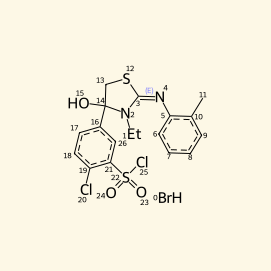 Br.CCN1/C(=N\c2ccccc2C)SCC1(O)c1ccc(Cl)c(S(=O)(=O)Cl)c1